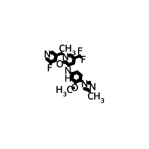 COc1cc(Nc2cc(C(F)F)cn([C@@H](C)c3cncc(F)c3)c2=O)ccc1-n1cnc(C)c1